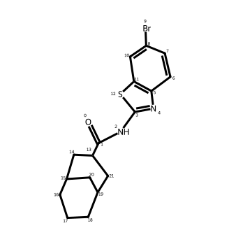 O=C(Nc1nc2ccc(Br)cc2s1)C1CC2CCCC(C2)C1